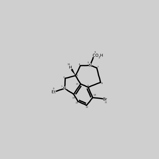 CCN1C[C@@H]2CN(C(=O)O)CCc3c(Br)ccc1c32